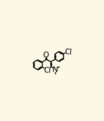 CN(C)C=C(C(=O)c1ccccc1Cl)c1ccc(Cl)cc1